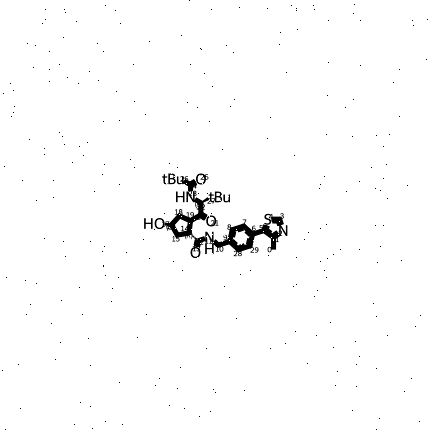 Cc1ncsc1-c1ccc(CNC(=O)[C@@H]2C[C@@H](O)CC2C(=O)[C@@H](NC(=O)C(C)(C)C)C(C)(C)C)cc1